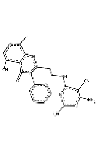 N#Cc1c(N)nc(N)nc1NCCc1nc2c(F)ccc(C#N)c2c(=O)n1-c1ccccc1